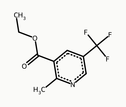 CCOC(=O)c1cc(C(F)(F)F)cnc1C